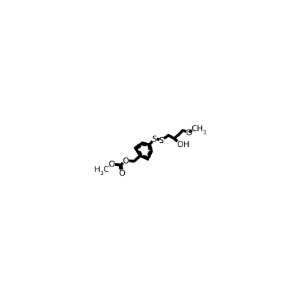 COCC(O)CSSc1ccc(COC(=O)OC)cc1